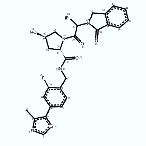 Cc1ncsc1-c1ccc(CNC(=O)[C@@H]2C[C@@H](O)CN2C(=O)C(C(C)C)N2Cc3ccccc3C2=O)c(F)c1